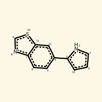 c1c[nH]c(-c2ccc3ncsc3c2)c1